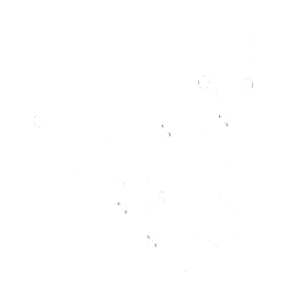 CN(c1nc(-c2ccc(Cl)cc2)c(C#N)s1)C1CCc2ccc(C3=CCN(C(=O)OC(C)(C)C)CC3)cc21